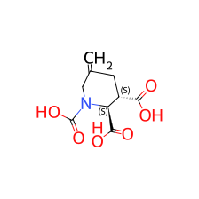 C=C1C[C@H](C(=O)O)[C@@H](C(=O)O)N(C(=O)O)C1